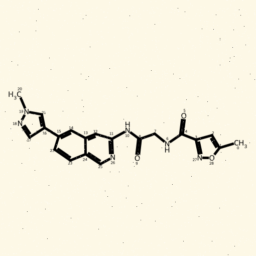 Cc1cc(C(=O)NCC(=O)Nc2cc3cc(-c4cnn(C)c4)ccc3cn2)no1